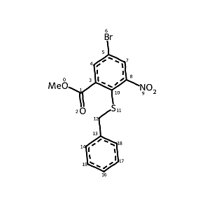 COC(=O)c1cc(Br)cc([N+](=O)[O-])c1SCc1ccccc1